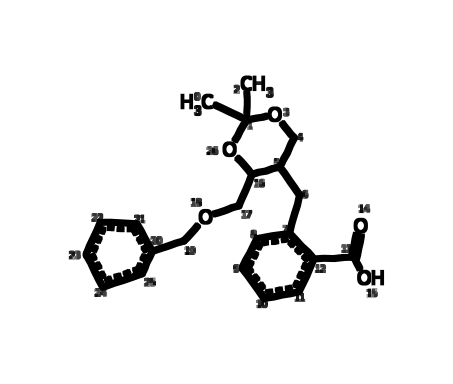 CC1(C)OCC(Cc2ccccc2C(=O)O)C(COCc2ccccc2)O1